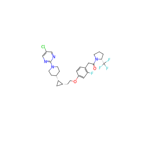 O=C(Cc1ccc(OCC[C@@H]2C[C@@H]2C2CCN(c3ncc(Cl)cn3)CC2)cc1F)N1CCC[C@@H]1C(F)(F)F